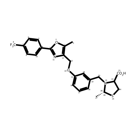 Cc1oc(-c2ccc(C(F)(F)F)cc2)nc1COc1cccc(CN2C(C(=O)O)CS[C@@H]2C)c1